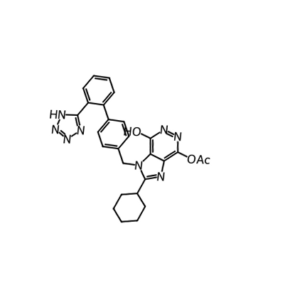 CC(=O)Oc1nnc(O)c2c1nc(C1CCCCC1)n2Cc1ccc(-c2ccccc2-c2nnn[nH]2)cc1